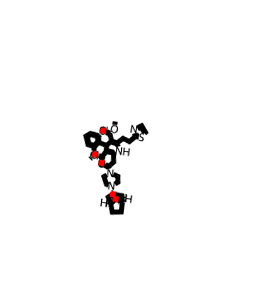 COC(=O)C1=C(CCc2nccs2)NC(CC(=O)N2CCN([C@@H]3C[C@H]4CC[C@@H](C3)C4(C)O)CC2)=C(C(=O)OC)C1c1c(Cl)cccc1Cl